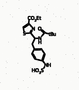 CCOC(=O)c1csc(C(Cc2ccc(NS(=O)(=O)O)cc2)NC(=O)C(C)(C)C)n1